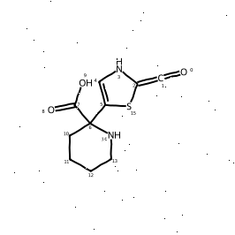 O=C=C1NC=C(C2(C(=O)O)CCCCN2)S1